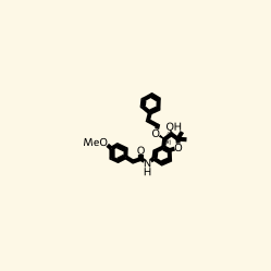 COc1ccc(CC(=O)Nc2ccc3c(c2)[C@@H](OCCc2ccccc2)[C@H](O)C(C)(C)O3)cc1